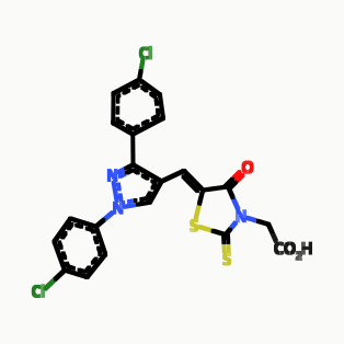 O=C(O)CN1C(=O)C(=Cc2cn(-c3ccc(Cl)cc3)nc2-c2ccc(Cl)cc2)SC1=S